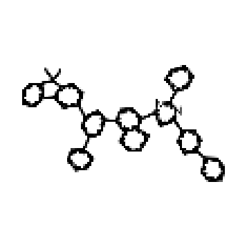 CC1(C)c2ccccc2-c2cc(-c3cc(-c4ccccc4)cc(-c4ccc(-c5cc(-c6ccc(-c7ccccc7)cc6)nc(-c6ccccc6)n5)c5ccccc45)c3)ccc21